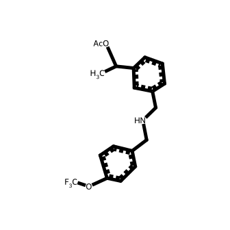 CC(=O)OC(C)c1cccc(CNCc2ccc(OC(F)(F)F)cc2)c1